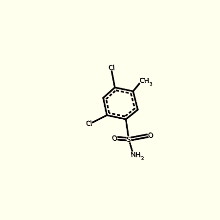 Cc1cc(S(N)(=O)=O)c(Cl)cc1Cl